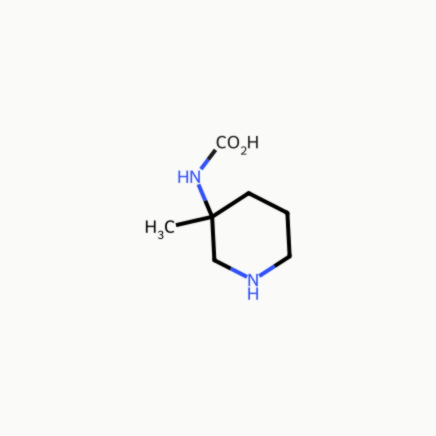 CC1(NC(=O)O)CCCNC1